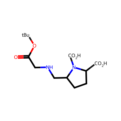 CC(C)(C)OC(=O)CNCC1CCC(C(=O)O)N1C(=O)O